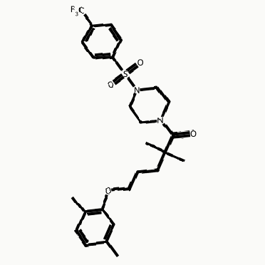 Cc1ccc(C)c(OCCCC(C)(C)C(=O)N2CCN(S(=O)(=O)c3ccc(C(F)(F)F)cc3)CC2)c1